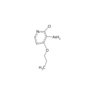 CCCOc1ccnc(Cl)c1[AsH2]